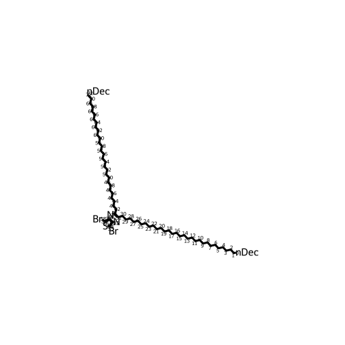 CCCCCCCCCCCCCCCCCCCCCCCCCCCCCCCCCCCCCCCCc1nc2c(Br)sc(Br)c2nc1CCCCCCCCCCCCCCCCCCCCCCCCCCCCCCCCCCCCCCCC